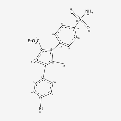 CCOC(=O)c1sc(-c2ccc(CC)cc2)c(C)c1-c1ccc(S(N)(=O)=O)cc1